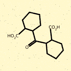 O=C(O)C1CCCCC1C(=O)C1CCCCC1C(=O)O